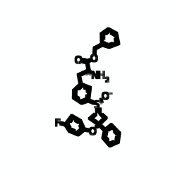 N[C@@H](Cc1cccc([S+]([O-])N2CC(Oc3ccc(F)cc3)(c3ccccc3)C2)c1)C(=O)OCc1ccccc1